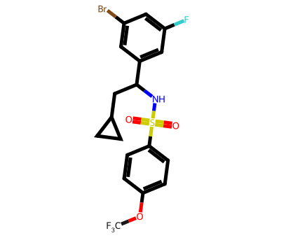 O=S(=O)(NC(CC1CC1)c1cc(F)cc(Br)c1)c1ccc(OC(F)(F)F)cc1